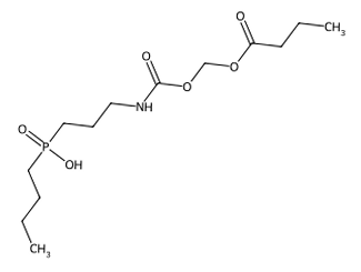 CCCCP(=O)(O)CCCNC(=O)OCOC(=O)CCC